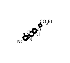 CCOC(=O)[C@H]1C[C@H](Oc2ccc(Cl)c(Cc3cc4c(C)cc(C#N)cc4n3C)c2Cl)C1